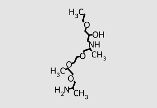 CCCOCC(O)CNC(C)COCCOC(C)COCC(C)N